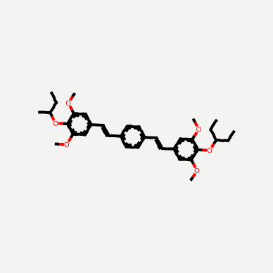 CCC(C)Oc1c(OC)cc(/C=C/c2ccc(/C=C/c3cc(OC)c(OC(CC)CC)c(OC)c3)cc2)cc1OC